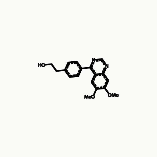 COc1cc2ncnc(-c3ccc(CCO)cc3)c2cc1OC